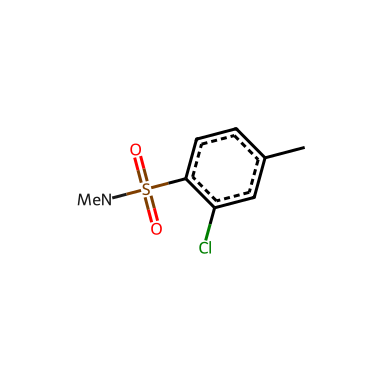 CNS(=O)(=O)c1ccc(C)cc1Cl